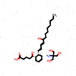 CCCCCCCCC(O)/C=C/C=C/[C@@H]1CC=CC[C@@H]1C(O)CCCC(=O)O.NC(CO)(CO)CO